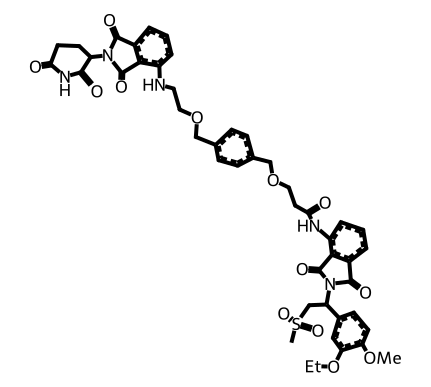 CCOc1cc(C(CS(C)(=O)=O)N2C(=O)c3cccc(NC(=O)CCOCc4ccc(COCCNc5cccc6c5C(=O)N(C5CCC(=O)NC5=O)C6=O)cc4)c3C2=O)ccc1OC